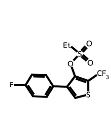 CCS(=O)(=O)Oc1c(-c2ccc(F)cc2)csc1C(F)(F)F